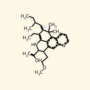 C=C(O)C1NC2=C(CC)/C(=C\C(C)CC)C(C)(C)c3c2c(cc2ncccc32)C1CCOC